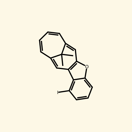 CC1(C)C2=Cc3oc4cccc(I)c4c3C=C1C=CC=C2